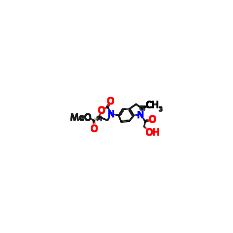 COC(=O)[C@H]1CN(c2ccc3c(c2)C[C@@H](C)N3C(=O)CO)C(=O)O1